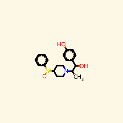 CC(C(O)c1ccc(O)cc1)N1CCC([S+]([O-])c2ccccc2)CC1